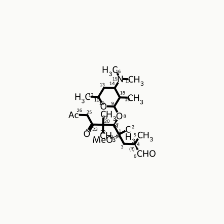 CO[C@](C)(C[C@@H](C)C=O)[C@H](OC1OC(C)CC(N(C)C)C1C)C(C)(C)C(=O)CC(C)=O